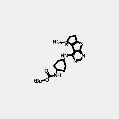 CC(C)(C)OC(=O)N[C@H]1CC[C@H](Nc2ncnc3sc4c(c23)[C@@H](CC#N)CC4)CC1